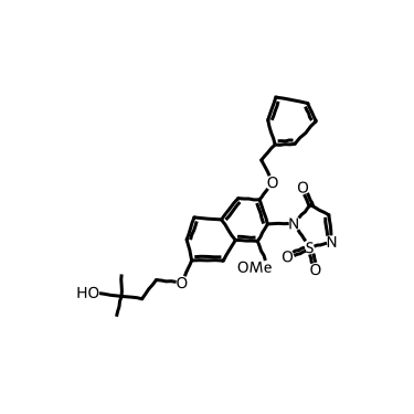 COc1c(N2C(=O)C=NS2(=O)=O)c(OCc2ccccc2)cc2ccc(OCCC(C)(C)O)cc12